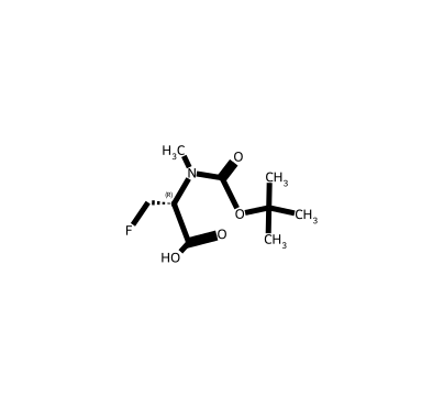 CN(C(=O)OC(C)(C)C)[C@@H](CF)C(=O)O